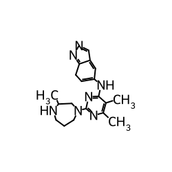 Cc1nc(N2CCCNC(C)C2)nc(NC2=CCC3=NN=CC3=C2)c1C